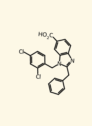 O=C(O)c1ccc2nc(Cc3ccccc3)n(Cc3ccc(Cl)cc3Cl)c2c1